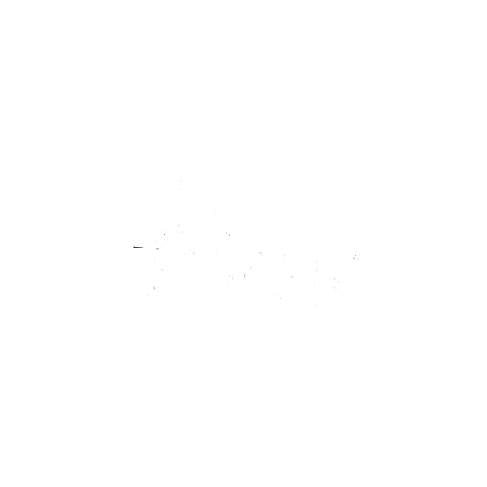 CCCCCCCCCNS(=O)(=O)c1ccc(Nc2ncc(Br)c(N[C@H](C)CO)n2)cc1